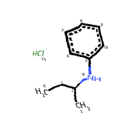 CCC(C)Nc1ccccc1.Cl